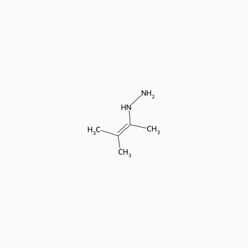 CC(C)=C(C)NN